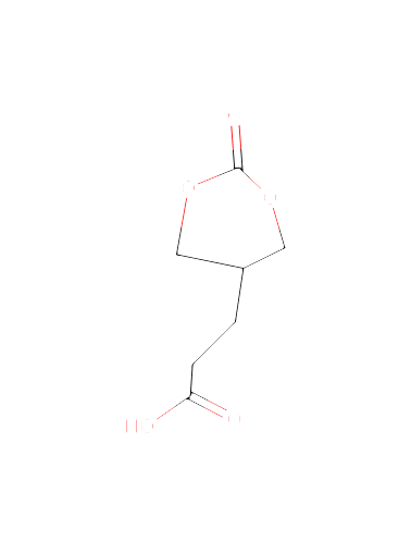 O=C(O)CCC1COC(=O)OC1